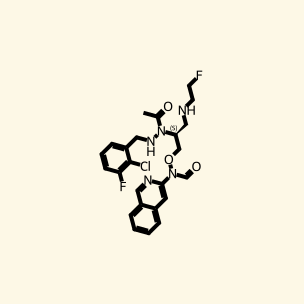 CC(=O)N(NCc1cccc(F)c1Cl)[C@@H](CNCCF)CON(C=O)c1cc2ccccc2cn1